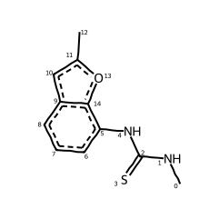 CNC(=S)Nc1cccc2cc(C)oc12